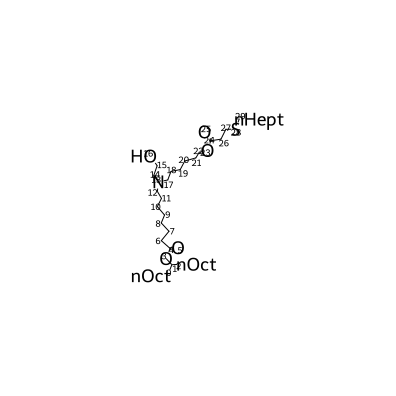 CCCCCCCCC(CCCCCCCC)OC(=O)CCCCCCCN(CCO)CCCCCCOC(=O)CCSCCCCCCC